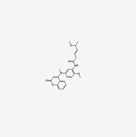 COc1ccc(N(C)c2cc(=O)oc3ccccc23)cc1NC(=O)CC=CC(C)OC